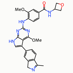 COc1cc(C(=O)NC2COC2)ccc1Nc1nc(OC)c2c(-c3ccc4c(c3)CN=C4C)c[nH]c2n1